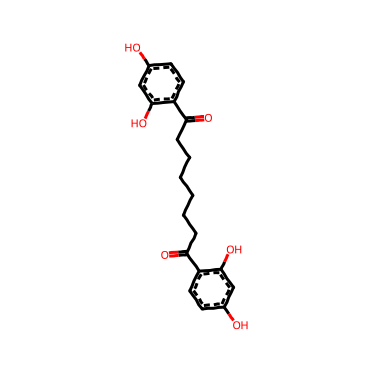 O=C(CCCCCCC(=O)c1ccc(O)cc1O)c1ccc(O)cc1O